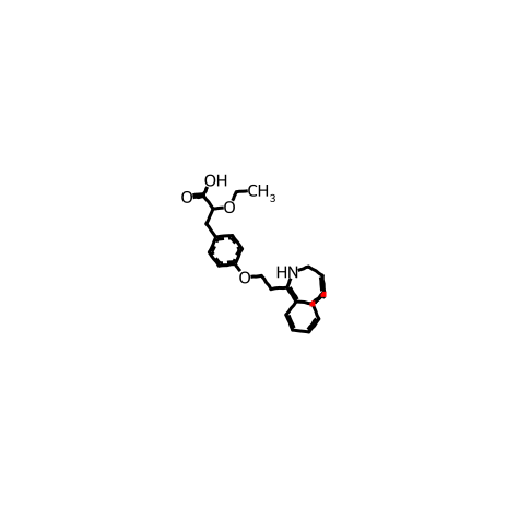 CCOC(Cc1ccc(OCCC2=C3C=CC=CC34CCC=CC4=CCN2)cc1)C(=O)O